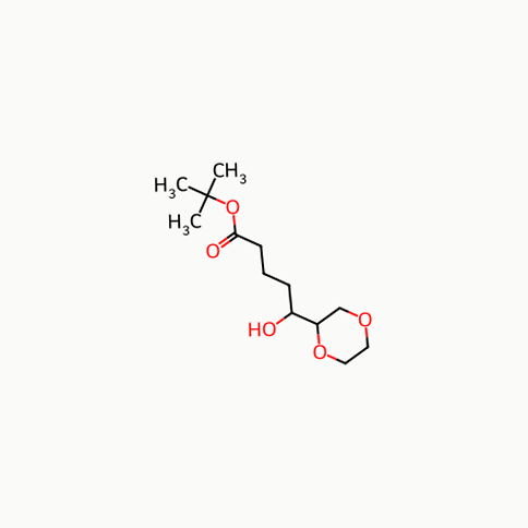 CC(C)(C)OC(=O)CCCC(O)C1COCCO1